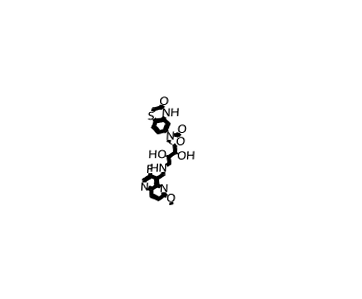 COc1ccc2ncc(F)c(CNC[C@@H](O)[C@H](O)[C@@H]3CN(c4ccc5c(c4)NC(=O)CS5)C(=O)O3)c2n1